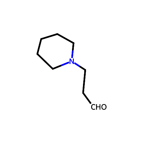 O=CCCN1CCCCC1